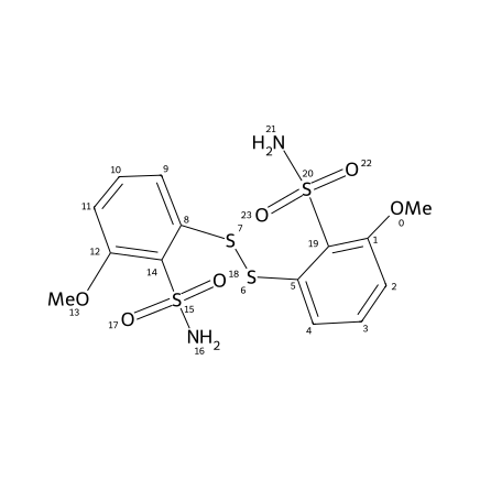 COc1cccc(SSc2cccc(OC)c2S(N)(=O)=O)c1S(N)(=O)=O